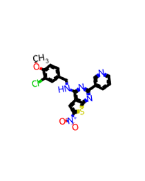 COc1ccc(CNc2nc(-c3cccnc3)nc3sc([N+](=O)[O-])cc23)cc1Cl